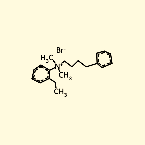 CCc1ccccc1[N+](C)(C)CCCCc1ccccc1.[Br-]